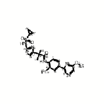 CCOc1cncc(-c2ccc(NC(=O)C(C)(C)c3csc(NS(=O)(=O)C4CC4)n3)c(C(C)C)c2)n1